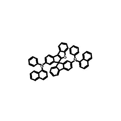 c1ccc(N(c2ccc3c(c2)C2(c4ccccc4-3)c3cc(N(c4ccccc4)c4cccc5ccccc45)ccc3-c3c2sc2ccccc32)c2cccc3ccccc23)cc1